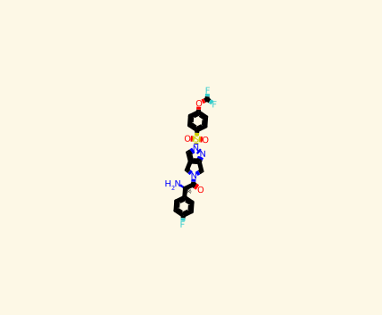 N[C@@H](C(=O)N1Cc2cn(S(=O)(=O)c3ccc(OC(F)F)cc3)nc2C1)c1ccc(F)cc1